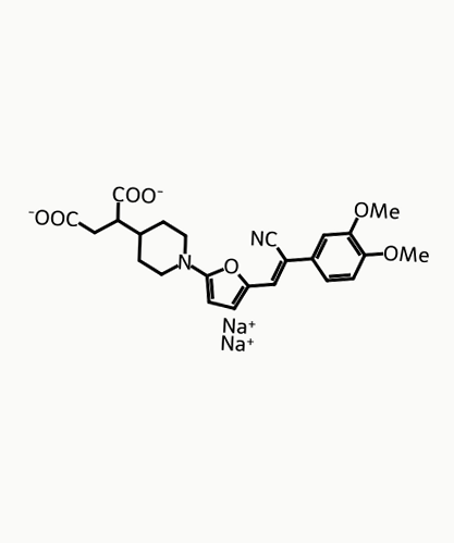 COc1ccc(C(C#N)=Cc2ccc(N3CCC(C(CC(=O)[O-])C(=O)[O-])CC3)o2)cc1OC.[Na+].[Na+]